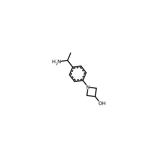 CC(N)c1ccc(N2CC(O)C2)cc1